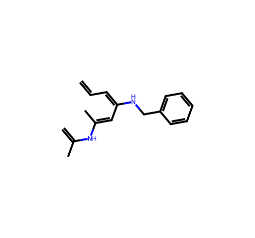 C=C/C=C(\C=C(/C)NC(=C)C)NCc1ccccc1